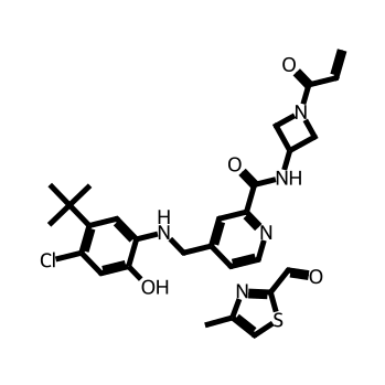 C=CC(=O)N1CC(NC(=O)c2cc(CNc3cc(C(C)(C)C)c(Cl)cc3O)ccn2)C1.Cc1csc(C=O)n1